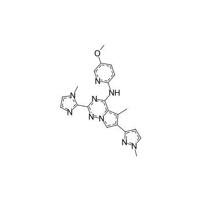 COc1ccc(Nc2nc(-c3nccn3C)nn3cc(-c4ccn(C)n4)c(C)c23)nc1